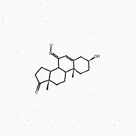 C[C@]12CC[C@H](O)CC1=CC(=N[O])C1C2CC[C@]2(C)C(=O)CCC12